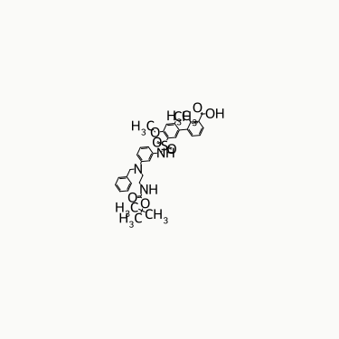 COc1cc(C)c(-c2cccc(C(=O)O)c2C)cc1S(=O)(=O)Nc1cccc(N(CCNC(=O)OC(C)(C)C)Cc2ccccc2)c1